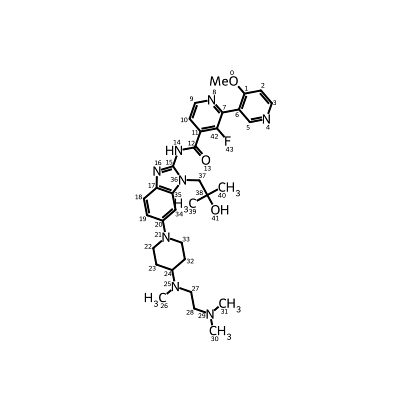 COc1ccncc1-c1nccc(C(=O)Nc2nc3ccc(N4CCC(N(C)CCN(C)C)CC4)cc3n2CC(C)(C)O)c1F